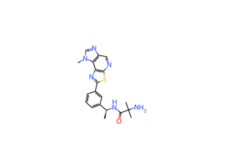 C[C@H](NC(=O)C(C)(C)N)c1cccc(-c2nc3c(ncc4ncn(C)c43)s2)c1